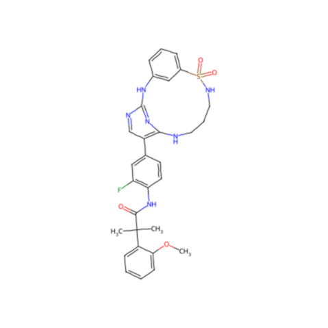 COc1ccccc1C(C)(C)C(=O)Nc1ccc(-c2cnc3nc2NCCCNS(=O)(=O)c2cccc(c2)N3)cc1F